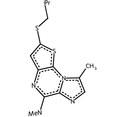 CNc1nc2cc(SCC(C)C)sc2n2c(C)cnc12